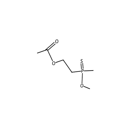 COP(C)(=S)CCOC(C)=O